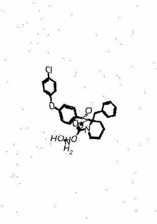 NO.O=C(O)N1CCCCC1(Cc1ccccc1)S(=O)(=O)c1ccc(Oc2ccc(Cl)cc2)cc1